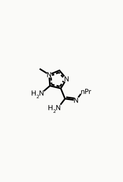 CCC/N=C(/N)c1ncn(C)c1N